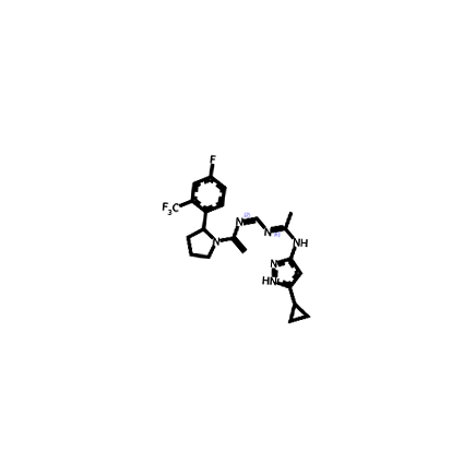 C=C(/N=C\N=C(/C)Nc1cc(C2CC2)[nH]n1)N1CCCC1c1ccc(F)cc1C(F)(F)F